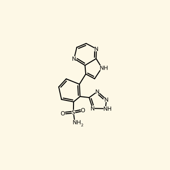 NS(=O)(=O)c1cccc(-c2c[nH]c3nccnc23)c1-c1nn[nH]n1